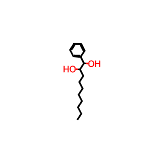 CCCCCCCCC(O)C(O)c1ccccc1